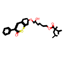 CC(C)CC(C)(C(=O)OCCCCC(O)COC1=CC2SC(=O)C(c3ccccc3)=CC2C=C1)C(C)C